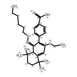 CCCCCCON=C1C(c2ccc(C(=O)O)cc2)=C(OCC)C=C2C1C(C)(C)CCC2(C)C